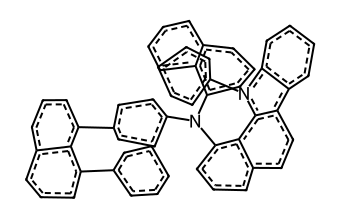 c1ccc(-c2cccc3cccc(-c4ccc(N(c5cccc6ccccc56)c5cccc6ccc7c8ccccc8n(-c8ccccc8)c7c56)cc4)c23)cc1